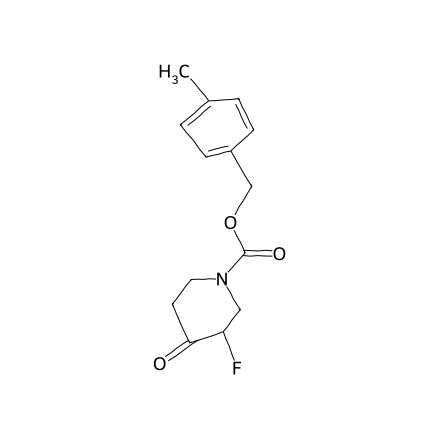 Cc1ccc(COC(=O)N2CCC(=O)C(F)C2)cc1